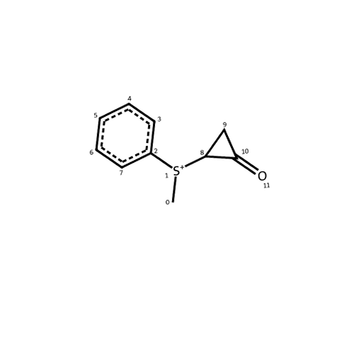 C[S+](c1ccccc1)C1CC1=O